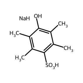 Cc1c(C)c(S(=O)(=O)O)c(C)c(C)c1O.[NaH]